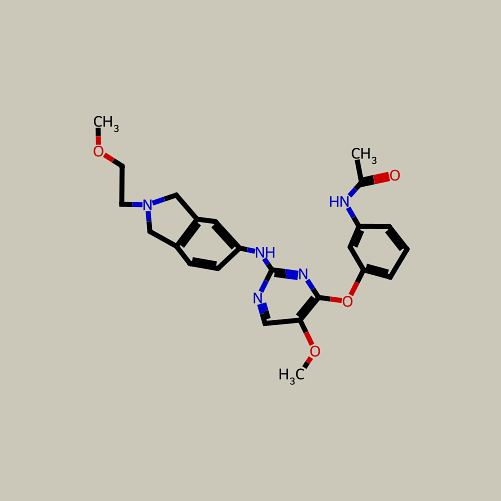 COCCN1Cc2ccc(Nc3ncc(OC)c(Oc4cccc(NC(C)=O)c4)n3)cc2C1